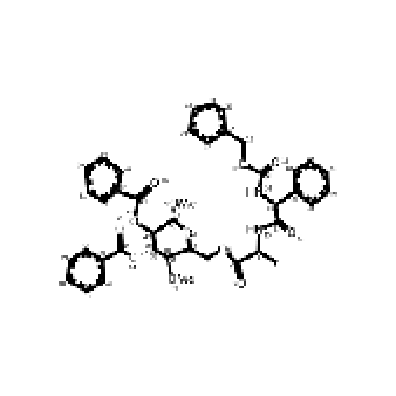 CO[C@@H]1OC(COC(=O)C(C)NC(=O)C(NC(=O)OCc2ccccc2)c2ccccc2)[C@@H](OC)[C@H](OC(=O)c2ccccc2)C1OC(=O)c1ccccc1